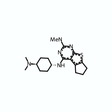 CNc1nc(N[C@H]2CC[C@H](N(C)C)CC2)c2c3c(sc2n1)CCC3